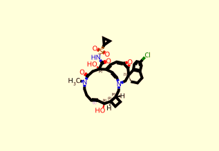 CN1CC/C=C/[C@H](O)[C@@H]2CC[C@H]2CN2C=CC(=CC=C3OC3[C@]3(CCCc4cc(Cl)ccc43)C2)[C@@](O)(C(=O)NS(=O)(=O)C2CC2)CC1=O